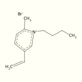 C=Cc1ccc(C)[n+](CCCC)c1.[Br-]